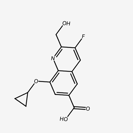 O=C(O)c1cc(OC2CC2)c2nc(CO)c(F)cc2c1